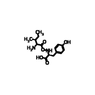 CC[C@H](C)[C@H](N)C(=O)ON[C@@H](Cc1ccc(O)cc1)C(=O)O